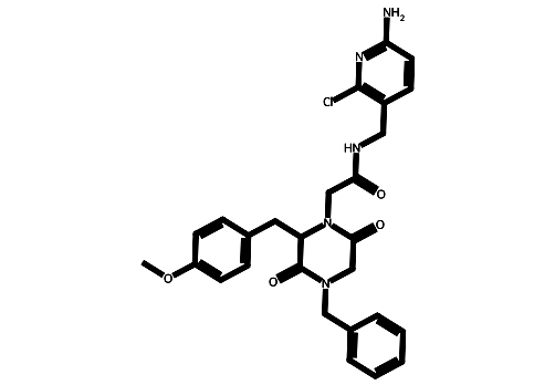 COc1ccc(CC2C(=O)N(Cc3ccccc3)CC(=O)N2CC(=O)NCc2ccc(N)nc2Cl)cc1